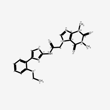 CCOc1ccccc1-c1csc(NC(=O)Cn2cnc3c2c(=O)n(C)c(=O)n3C)n1